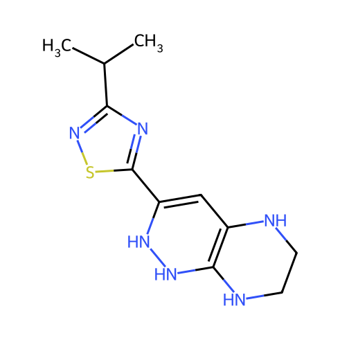 CC(C)c1nsc(C2=CC3=C(NCCN3)NN2)n1